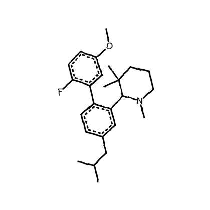 COc1ccc(F)c(-c2ccc(CC(C)C)cc2C2N(C)CCCC2(C)C)c1